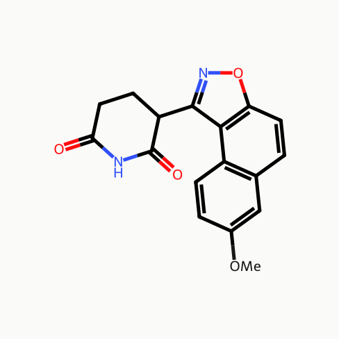 COc1ccc2c(ccc3onc(C4CCC(=O)NC4=O)c32)c1